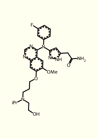 COc1cc2c(N(c3cccc(F)c3)c3cc(CC(N)=O)[nH]n3)ncnc2cc1OCCCN(CCO)C(C)C